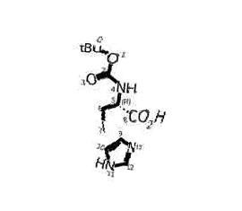 CC(C)(C)OC(=O)N[C@@H](CI)C(=O)O.c1c[nH]cn1